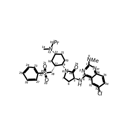 CNc1nc(N[C@H]2CCN([C@H]3CC[C@@H](N(C)C(C)C)C[C@H]3CS(=O)(=O)c3ccccc3)C2=O)c2cc(Cl)ccc2n1